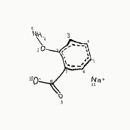 NOc1ccccc1C(=O)[O-].[Na+]